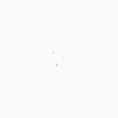 Cc1ccc(C#N)c(C=O)c1